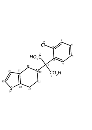 O=C(O)C(C(=O)O)(c1ccccc1Cl)N1CCc2sccc2C1